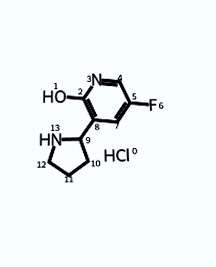 Cl.Oc1ncc(F)cc1C1CCCN1